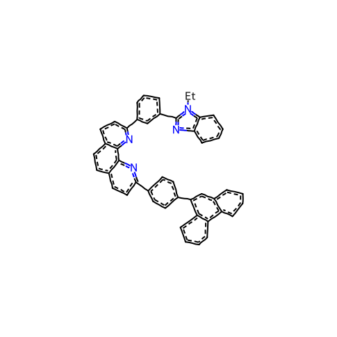 CCn1c(-c2cccc(-c3ccc4ccc5ccc(-c6ccc(-c7cc8ccccc8c8ccccc78)cc6)nc5c4n3)c2)nc2ccccc21